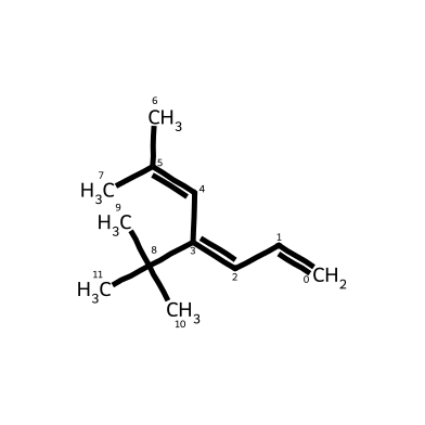 C=C/C=C(\C=C(C)C)C(C)(C)C